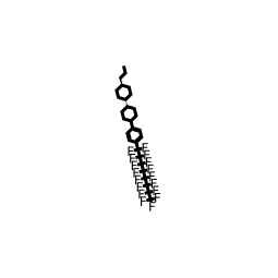 CCC[C@H]1CC[C@H](C2CCC(c3ccc(C(F)(F)C(F)(F)C(F)(F)C(F)(F)C(F)(F)C(F)(F)C(F)(F)C(F)(F)F)cc3)CC2)CC1